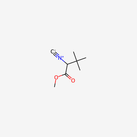 [C-]#[N+]C(C(=O)OC)C(C)(C)C